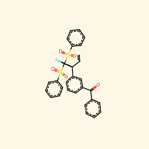 C=CC(c1cccc(C(=O)c2ccccc2)c1)C(F)(S(=O)(=O)c1ccccc1)S(=O)(=O)c1ccccc1